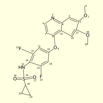 COc1cc2nccc(Oc3cc(F)c(NS(=O)(=O)C4CC4)c(F)c3)c2cc1OC